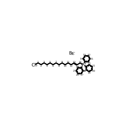 ClCCCCCCCCCCCCC=CC[P+](c1ccccc1)(c1ccccc1)c1ccccc1.[Br-]